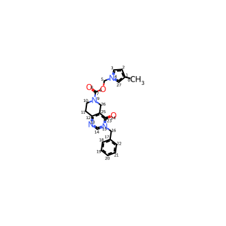 Cc1ccn(COC(=O)N2CCc3ncn(Cc4ccccc4)c(=O)c3C2)c1